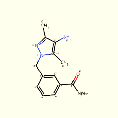 CNC(=O)c1cccc(Cn2nc(C)c(N)c2C)c1